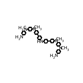 CN(c1ccc(N)cc1)c1ccc(N(C)c2ccc(C3=CC=C(Nc4ccc(-c5ccc(N(C)c6ccc(N(C)c7ccc(N)cc7)cc6)cc5)cc4)CC3)cc2)cc1